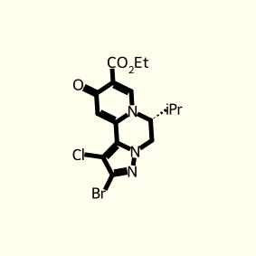 CCOC(=O)c1cn2c(cc1=O)-c1c(Cl)c(Br)nn1C[C@H]2C(C)C